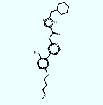 COCCCOc1ccc(C)c(-c2ccnc(NC(=O)c3nnc(CC4CCCCC4)[nH]3)c2)c1